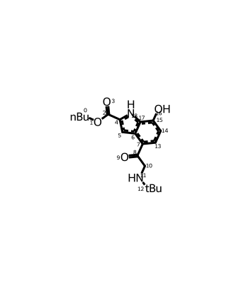 CCCCOC(=O)c1cc2c(C(=O)CNC(C)(C)C)ccc(O)c2[nH]1